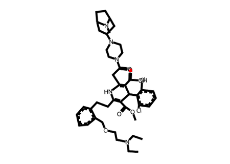 CCN(CC)CCOCc1ccccc1CCC1=C(C(=O)OC)C(c2c(Cl)cccc2Cl)C(C(=O)O)=C(CC(=O)N2CCN(C3CC4CCC(C3)N4C)CC2)N1